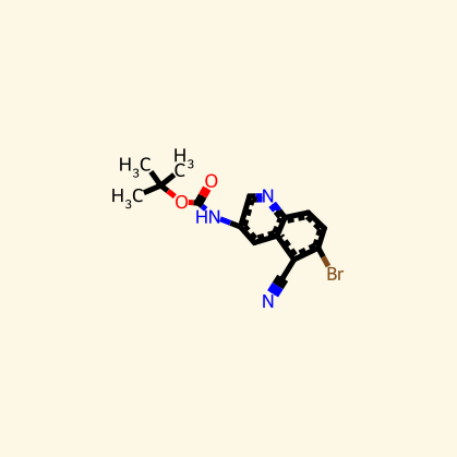 CC(C)(C)OC(=O)Nc1cnc2ccc(Br)c(C#N)c2c1